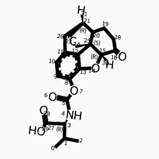 CC(C)[C@@H](NC(=O)Oc1ccc2c3c1O[C@H]1C(=O)CCC4[C@H](CCC[C@@]341)C2)C(=O)O